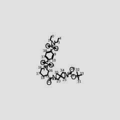 CCN(CC)S(=O)(=O)c1ccc(S(=O)(=O)N2CCC[C@@H](C(=O)N3CC4(CN(C(=O)OC(C)(C)C)C4)C3)C2)cc1